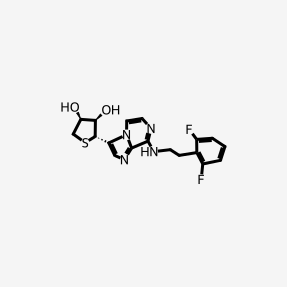 O[C@@H]1[C@H](O)CS[C@H]1c1cnc2c(NCCc3c(F)cccc3F)nccn12